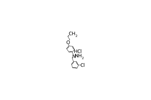 C=CCOc1ccc(N(N)Cc2cccc(Cl)c2)cc1.Cl